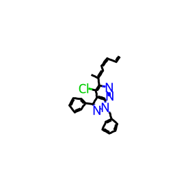 C=C/C=C\C=C(/C)c1nnc2c(c(-c3ccccc3)nn2Cc2ccccc2)c1Cl